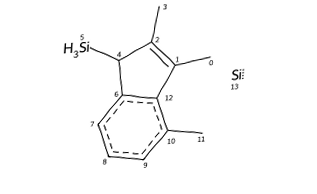 CC1=C(C)C([SiH3])c2cccc(C)c21.[Si]